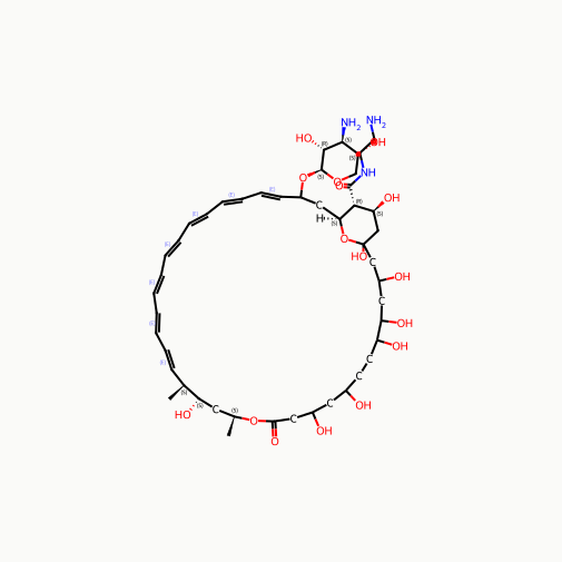 C[C@H]1C[C@H](O)[C@@H](C)/C=C/C=C/C=C/C=C/C=C/C=C/C=C/C(O[C@@H]2OC[C@@H](O)[C@H](N)[C@H]2O)C[C@@H]2OC(O)(CC(O)CC(O)C(O)CCC(O)CC(O)CC(=O)O1)C[C@H](O)[C@H]2C(=O)NCCN